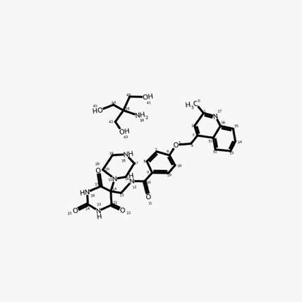 Cc1cc(COc2ccc(C(=O)NCC3(N4CCNCC4)C(=O)NC(=O)NC3=O)cc2)c2ccccc2n1.NC(CO)(CO)CO